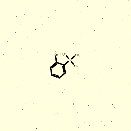 C[Si](C)(C)c1ccccc1[Se]